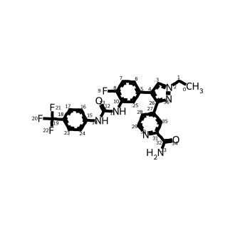 CCn1cc(-c2ccc(F)c(NC(=O)Nc3ccc(C(F)(F)F)cc3)c2)c(-c2ccnc(C(N)=O)c2)n1